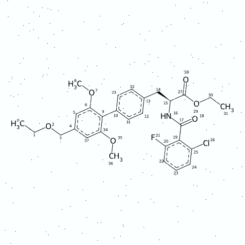 CCOCc1cc(OC)c(-c2ccc(C[C@H](NC(=O)c3c(F)cccc3Cl)C(=O)OCC)cc2)c(OC)c1